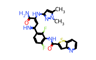 Cc1cc(N/C(=C/C(=N)c2ccc(F)c(NC(=O)c3cc4ncccc4s3)c2F)C(N)=O)nn1C